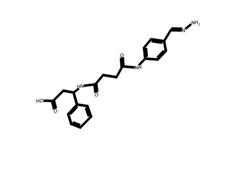 NN=Cc1ccc(NC(=O)CCC(=O)NC(CC(=O)O)c2ccccc2)cc1